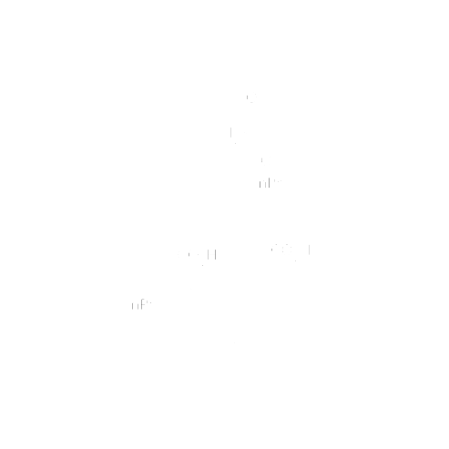 CCCC.CCCC.O=C(O)c1ccccc1.O=C(O)c1ccccc1.O=[SH2]=O